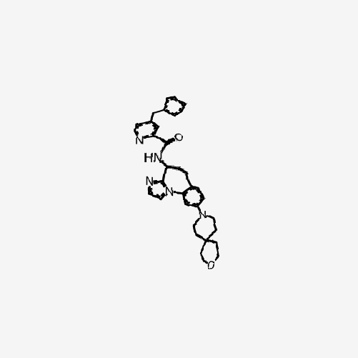 O=C(NC1CCc2ccc(N3CCC4(CCOCC4)CC3)cc2-n2ccnc21)c1cc(Cc2ccccc2)ccn1